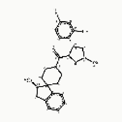 CC(=O)O[C@@H]1Cc2ccccc2C12CCN(C(=O)C1CN(C(C)(C)C)C[C@H]1c1ccc(F)cc1F)CC2